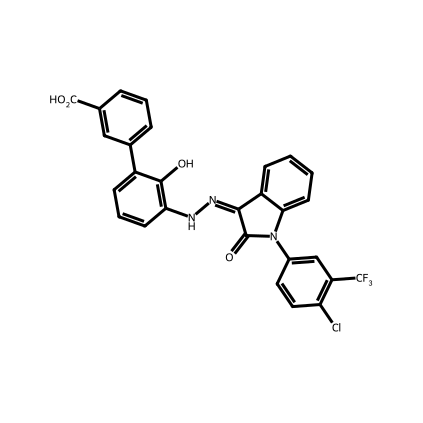 O=C(O)c1cccc(-c2cccc(NN=C3C(=O)N(c4ccc(Cl)c(C(F)(F)F)c4)c4ccccc43)c2O)c1